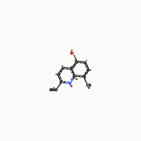 COc1ccc2c(Br)ccc(C#N)c2n1